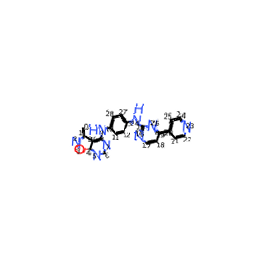 Cc1noc2ncnc(Nc3ccc(Nc4nccc(-c5ccncc5)n4)cc3)c12